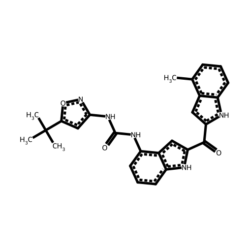 Cc1cccc2[nH]c(C(=O)c3cc4c(NC(=O)Nc5cc(C(C)(C)C)on5)cccc4[nH]3)cc12